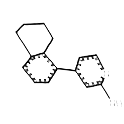 Nc1cc(-c2cccc3c2CCCC3)ccn1